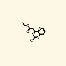 CCOC(=O)Cc1nc(Cl)nc2cccnc12